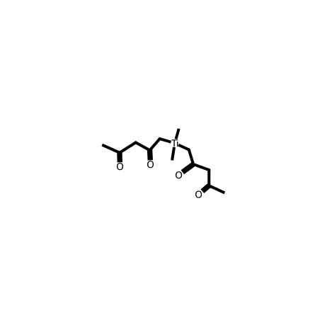 CC(=O)CC(=O)[CH2][Ti]([CH3])([CH3])[CH2]C(=O)CC(C)=O